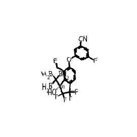 BC(B)(B)[C@@]1(O)c2c(ccc(Oc3cc(F)cc(C#N)c3)c2CF)C(F)(F)C1(F)F